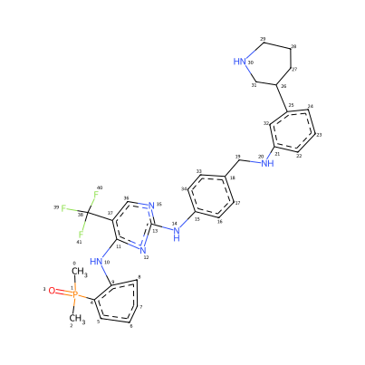 CP(C)(=O)c1ccccc1Nc1nc(Nc2ccc(CNc3cccc(C4CCCNC4)c3)cc2)ncc1C(F)(F)F